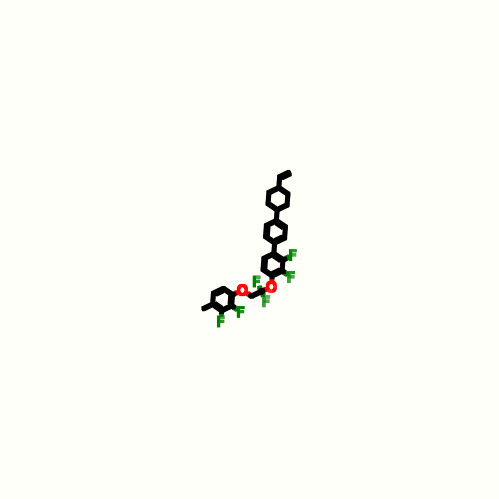 C=CC1CCC(c2ccc(-c3ccc(OC(F)(F)COc4ccc(C)c(F)c4F)c(F)c3F)cc2)CC1